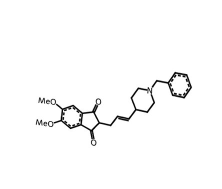 COc1cc2c(cc1OC)C(=O)C(CC=CC1CCN(Cc3ccccc3)CC1)C2=O